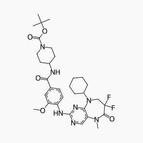 COc1cc(C(=O)NC2CCN(C(=O)OC(C)(C)C)CC2)ccc1Nc1ncc2c(n1)N(C1CCCCC1)CC(F)(F)C(=O)N2C